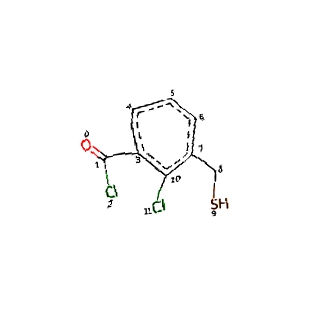 O=C(Cl)c1cccc(CS)c1Cl